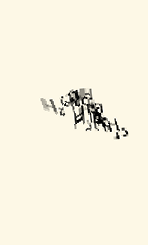 CCC1NC(c2ccc3c(c2)CC[C@H]3NC(=O)C2CN(C)C(C)N2C)NO1